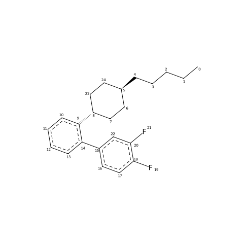 CCCCC[C@H]1CC[C@H](c2ccccc2-c2ccc(F)c(F)c2)CC1